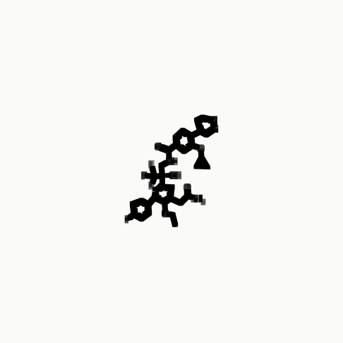 CCOc1c(CC(N)=O)cc([C@@](O)(CNC(=O)c2ccc(-c3ccnnc3)c(OC3CC3)c2)C(F)(F)F)nc1-c1ccc(F)cc1